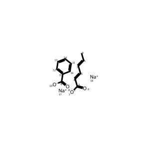 C/C=C/C=C/C(=O)[O-].O=C([O-])c1ccccc1.[Na+].[Na+]